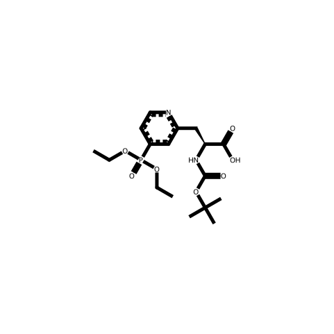 CCOP(=O)(OCC)c1ccnc(C[C@H](NC(=O)OC(C)(C)C)C(=O)O)c1